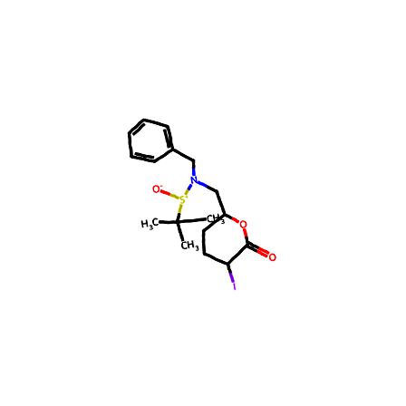 CC(C)(C)[S+]([O-])N(Cc1ccccc1)CC1CCC(I)C(=O)O1